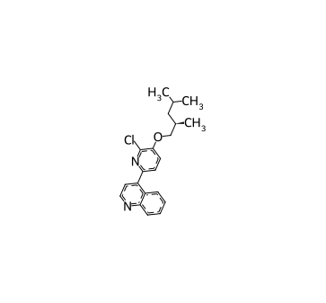 CC(C)C[C@@H](C)COc1ccc(-c2ccnc3ccccc23)nc1Cl